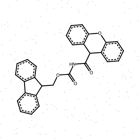 O=C(NC(=O)C1c2ccccc2Oc2ccccc21)OCC1c2ccccc2-c2ccccc21